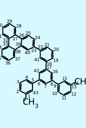 Cc1cccc(-c2cc(-c3cccc(C)c3)cc(-c3cccc(-c4ccc5c6ccccc6c6ccccc6c5c4)c3)c2)c1